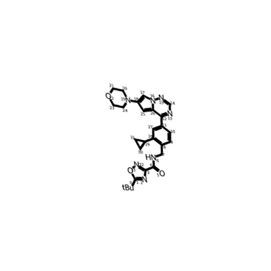 CC(C)(C)c1nc(C(=O)NCc2ccc(-c3ncnn4cc(N5CCOCC5)cc34)cc2C2CC2)no1